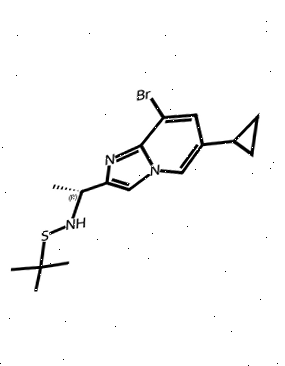 C[C@@H](NSC(C)(C)C)c1cn2cc(C3CC3)cc(Br)c2n1